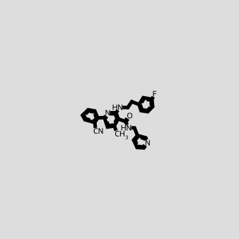 Cc1cc(-c2ccccc2C#N)nc(NCCc2cccc(F)c2)c1C(=O)NCc1cccnc1